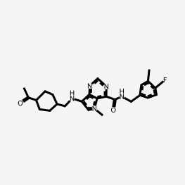 CC(=O)C1CCC(CNc2cn(C)c3c(C(=O)NCc4ccc(F)c(C)c4)ncnc23)CC1